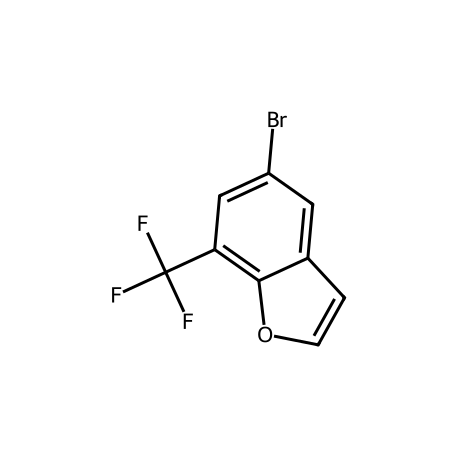 FC(F)(F)c1cc(Br)cc2ccoc12